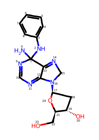 NC1(Nc2ccccc2)N=CN=C2C1=NCN2[C@H]1C[C@H](O)[C@@H](CO)O1